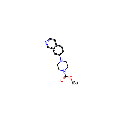 CC(C)(C)OC(=O)N1CCN(c2ccc3ccncc3c2)CC1